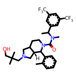 Cc1ccccc1C1[C@@H]2CN(CC(C)(C)CO)CC2CCN1C(=O)N(C)C(C)c1cc(C(F)(F)F)cc(C(F)(F)F)c1